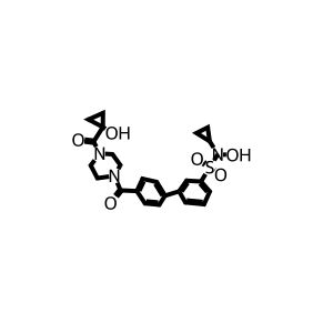 O=C(c1ccc(-c2cccc(S(=O)(=O)N(O)C3CC3)c2)cc1)N1CCN(C(=O)C2(O)CC2)CC1